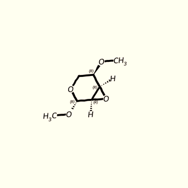 CO[C@@H]1OC[C@@H](OC)[C@H]2O[C@@H]12